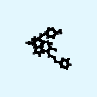 CC(O)C(CCCc1ccccc1)n1ncc2c(=O)[nH]c(Cc3ccc(Cl)cc3)nc21